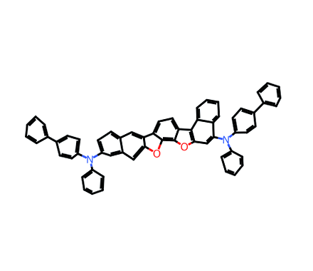 c1ccc(-c2ccc(N(c3ccccc3)c3ccc4cc5c(cc4c3)oc3c5ccc4c3oc3cc(N(c5ccccc5)c5ccc(-c6ccccc6)cc5)c5ccccc5c34)cc2)cc1